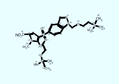 Cc1c(S(=O)(=NCCO[Si](C)(C)C(C)(C)C)c2ccc3c(cnn3COCC[Si](C)(C)C)c2)cc(C(=O)O)n1C